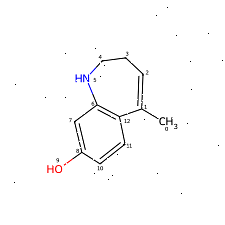 CC1=CCCNc2cc(O)ccc21